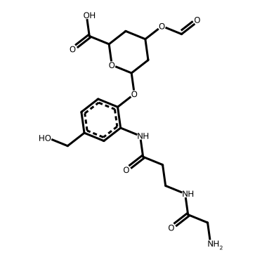 NCC(=O)NCCC(=O)Nc1cc(CO)ccc1OC1CC(OC=O)CC(C(=O)O)O1